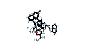 CN[C@@H]1CCCN(c2nc(OC[C@@]34CCCN3C[C@H](F)C4)nc3c(F)c(-c4cc(O)cc5ccc(F)c(C#C[Si](C(C)C)(C(C)C)C(C)C)c45)ncc23)C1